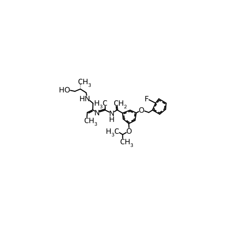 C=C(N/C(C)=N/C(=C\C)CNC[C@@H](C)CO)c1cc(OCc2ccccc2F)cc(OC(C)C)c1